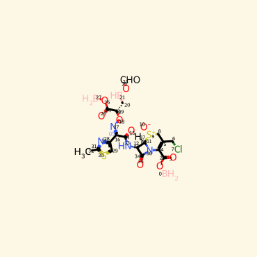 BOC(=O)C1=C(CCl)C[S+]([O-])[C@@H]2[C@H](NC(=O)/C(=N\O[C@@H](CBOC=O)C(=O)OB)c3csc(C)n3)C(=O)N12